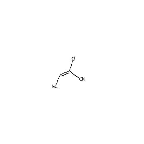 N#C/C=C(/Cl)C#N